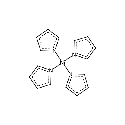 c1cc[n]([Ni]([n]2cccc2)([n]2cccc2)[n]2cccc2)c1